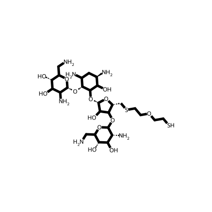 NCC1O[C@H](O[C@@H]2C(N)C[C@@H](N)C(O)C2O[C@@H]2O[C@H](CSCCOCCS)C(OC3OC(CN)[C@@H](O)C(O)[C@H]3N)C2O)C(N)C(O)[C@@H]1O